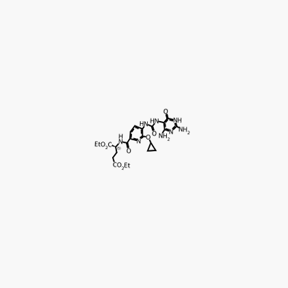 CCOC(=O)CC[C@H](NC(=O)c1ccc(NC(=O)Nc2c(N)nc(N)[nH]c2=O)c(OC2CC2)n1)C(=O)OCC